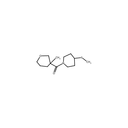 CSC1CCN(C(=O)C2(C)CCCOC2)CC1